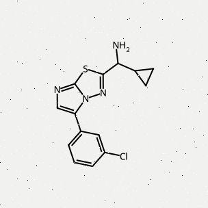 NC(c1nn2c(-c3cccc(Cl)c3)cnc2s1)C1CC1